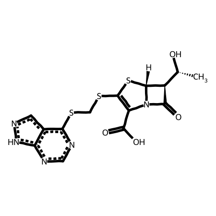 C[C@@H](O)[C@H]1C(=O)N2C(C(=O)O)=C(SCSc3ncnc4[nH]ncc34)S[C@H]12